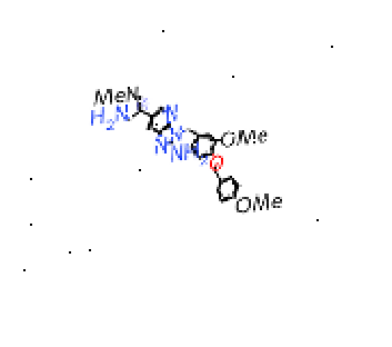 CN/C=C(\CN)c1cnc2c(c1)nc(N)n2Cc1ccc(OCc2ccc(OC)cc2)c(OC)c1